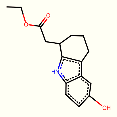 CCOC(=O)CC1CCCc2c1[nH]c1ccc(O)cc21